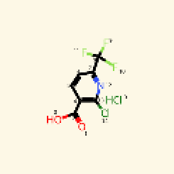 Cl.O=C(O)c1ccc(C(F)(F)F)nc1Cl